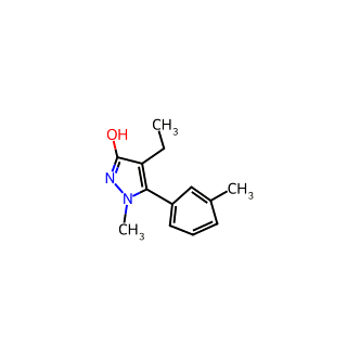 CCc1c(O)nn(C)c1-c1cccc(C)c1